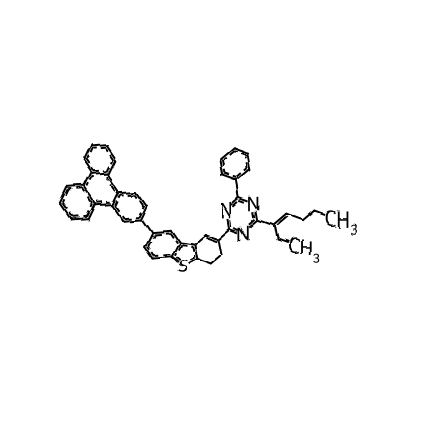 CCC/C=C(\CC)c1nc(C2=Cc3c(sc4ccc(-c5ccc6c7ccccc7c7ccccc7c6c5)cc34)CC2)nc(-c2ccccc2)n1